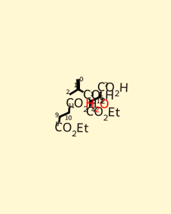 C=C(C)C(=O)O.CCOC(=O)CCC(=O)O.CCOC(=O)CCC(=O)O.O